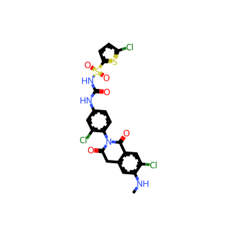 CNc1cc2c(cc1Cl)C(=O)N(c1ccc(NC(=O)NS(=O)(=O)c3ccc(Cl)s3)cc1Cl)C(=O)C2